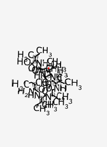 CC[C@H](C)[C@H](N)C(=O)N[C@H](C(=O)N[C@H](C(=O)N[C@H](C(=O)N[C@H](C(=O)N[C@H](C(=O)N[C@H](C(=O)O)[C@@H](C)CC)[C@@H](C)CC)[C@@H](C)CC)[C@@H](C)CC)C(C)C)[C@@H](C)CC